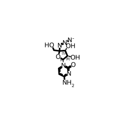 [N-]=[N+]=NC1(CO)O[C@@H](n2ccc(N)nc2=O)[C@H](O)[C@@H]1O